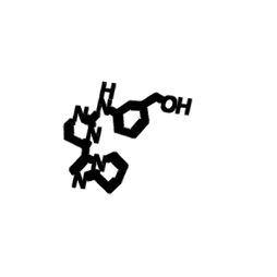 OCc1cccc(Nc2nccc(-c3cnc4ccccn34)n2)c1